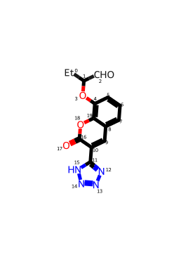 CCC(C=O)Oc1cccc2cc(-c3nnn[nH]3)c(=O)oc12